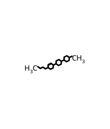 CCCCCC1C=CC(C2CCC(C3CCC(CC)CC3)CC2)CC1